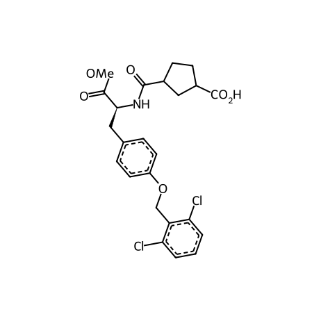 COC(=O)[C@H](Cc1ccc(OCc2c(Cl)cccc2Cl)cc1)NC(=O)C1CCC(C(=O)O)C1